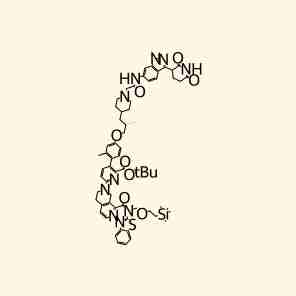 Cc1cc(OC[C@@H](C)CC2CCN(CC(=O)Nc3ccc4c(C5CCC(=O)NC5=O)nn(C)c4c3)CC2)ccc1-c1ccc(N2CCc3ccnc(C(=O)N(COCC[Si](C)(C)C)c4nc5ccccc5s4)c3C2)nc1C(=O)OC(C)(C)C